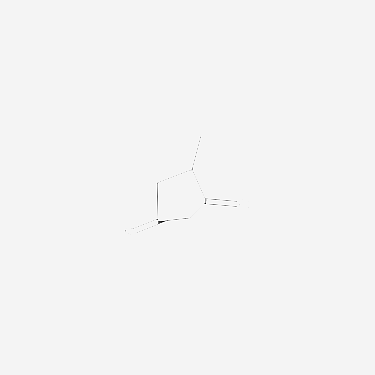 CC1CC(=S)CC1=O